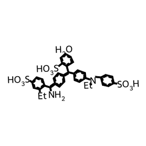 CCc1cc(S(=O)(=O)O)ccc1C(N)=c1ccc(=C(c2ccc(N(CC)Cc3ccc(S(=O)(=O)O)cc3)cc2)c2ccccc2S(=O)(=O)O)cc1.O